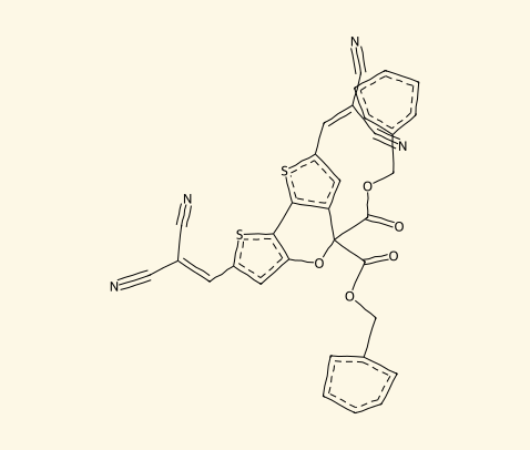 N#CC(C#N)=Cc1cc2c(s1)-c1sc(C=C(C#N)C#N)cc1C(C(=O)OCc1ccccc1)(C(=O)OCc1ccccc1)O2